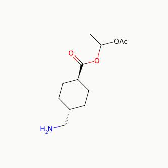 CC(=O)OC(C)OC(=O)[C@H]1CC[C@H](CN)CC1